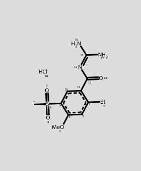 CCc1cc(OC)c(S(C)(=O)=O)cc1C(=O)N=C(N)N.Cl